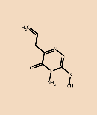 C=CCc1nnc(SC)n(N)c1=O